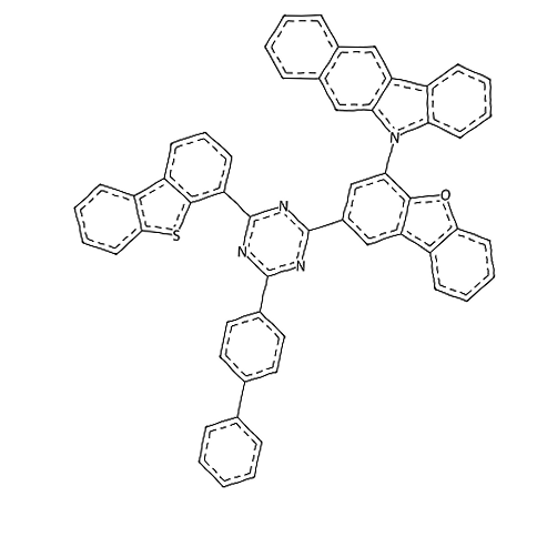 c1ccc(-c2ccc(-c3nc(-c4cc(-n5c6ccccc6c6cc7ccccc7cc65)c5oc6ccccc6c5c4)nc(-c4cccc5c4sc4ccccc45)n3)cc2)cc1